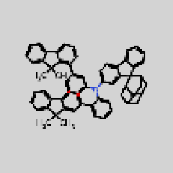 CC1(C)c2ccccc2-c2ccc(-c3ccccc3N(c3cccc(-c4cccc5c4C(C)(C)c4ccccc4-5)c3)c3ccc4c(c3)C3(c5ccccc5-4)C4CC5CC(C4)CC3C5)cc21